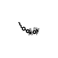 CCCCCC1CCC(c2ccc(C(F)(F)Oc3cc(F)c(C(F)(F)F)c(F)c3)c(F)c2)CC1